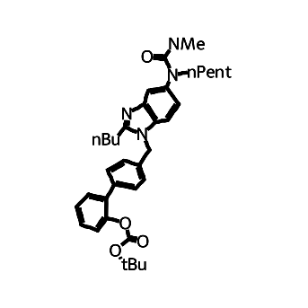 CCCCCN(C(=O)NC)c1ccc2c(c1)nc(CCCC)n2Cc1ccc(-c2ccccc2OC(=O)OC(C)(C)C)cc1